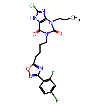 CCCn1c(=O)n(CCCCc2nc(-c3ccc(F)cc3F)no2)c(=O)c2[nH]c(Cl)nc21